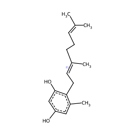 CC(C)=CCC/C(C)=C/Cc1c(C)cc(O)cc1O